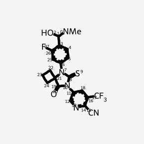 CNC(O)c1ccc(N2C(=S)N(c3cnc(C#N)c(C(F)(F)F)c3)C(=O)C23CCC3)cc1F